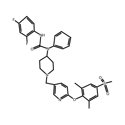 Cc1cc(S(C)(=O)=O)cc(C)c1Oc1ccc(CN2CCC(N(C(=O)Nc3ccc(F)cc3F)c3ccccc3)CC2)cn1